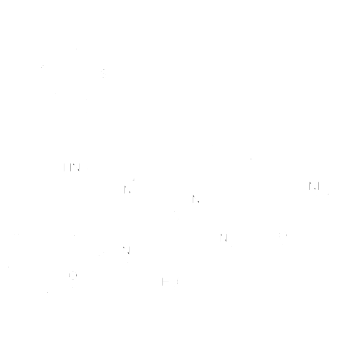 Cc1nc2c(C(N)=O)cccn2c1-c1nc(NCc2cccs2)c2c(n1)OCCCC2